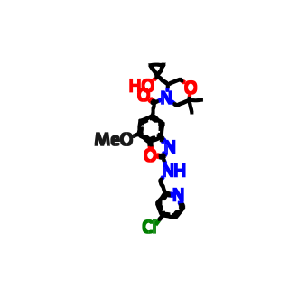 COc1cc(C(=O)N2CC(C)(C)OCC2C2(O)CC2)cc2nc(NCc3cc(Cl)ccn3)oc12